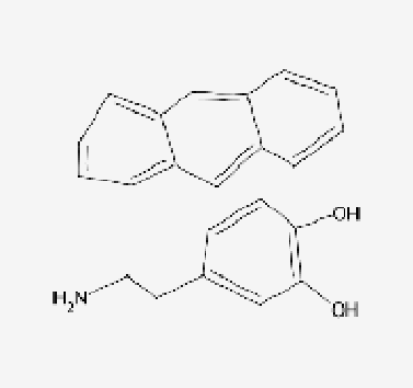 NCCc1ccc(O)c(O)c1.c1ccc2cc3ccccc3cc2c1